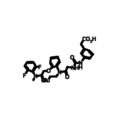 CCC(C)CCN(C(=O)CNC(=O)Nc1cccc(CC(=O)O)c1)c1ccccc1OCC(=O)N(C)c1c(F)cccc1F